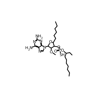 CCCCCCCC(CC)OP(=O)(S)OC1C(CCCCCC)OC(n2cnc3c(N)nc(N)nc32)C1OC